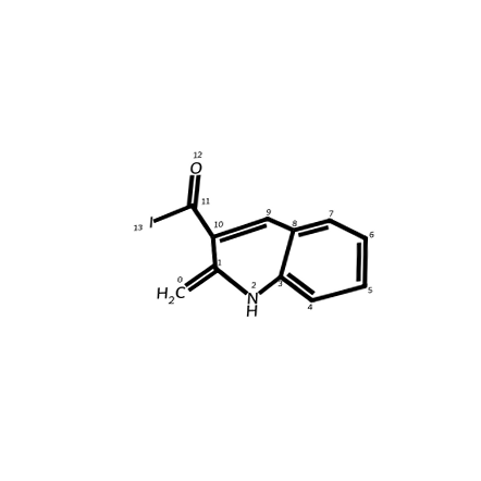 C=C1Nc2ccccc2C=C1C(=O)I